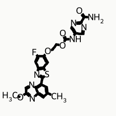 COc1cnc2c(-c3nc4cc(F)c(OCCOC(=O)Nc5cnc(C(N)=O)nc5)cc4s3)cc(C)cc2n1